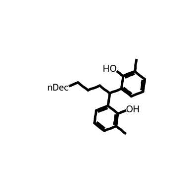 CCCCCCCCCCCCCC(c1cccc(C)c1O)c1cccc(C)c1O